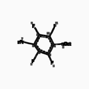 CCCCCCCCc1c(F)c(F)c(CCC)c(F)c1F